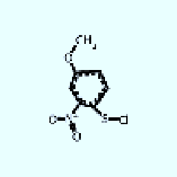 COc1ccc(SCl)c([N+](=O)[O-])c1